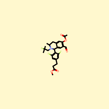 COC(=O)CCc1cc(F)c(C2c3cc(C=O)c(OC(C)=O)cc3CC(C)N2CC(C)(C)F)c(F)c1